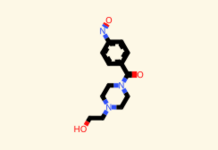 O=Nc1ccc(C(=O)N2CCN(CCO)CC2)cc1